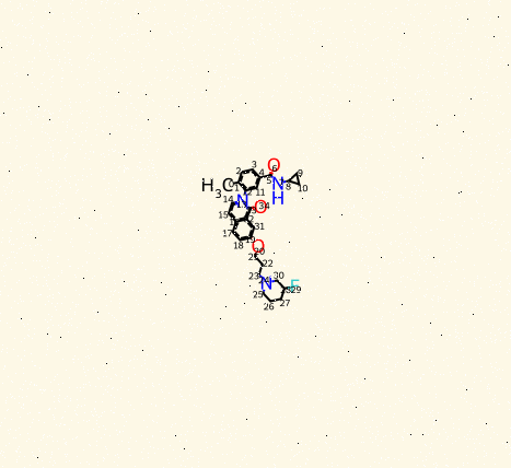 Cc1ccc(C(=O)NC2CC2)cc1-n1ccc2ccc(OCCCN3CCCC(F)C3)cc2c1=O